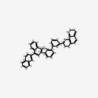 C1=c2ccc3c(c2=NCC1)N=C(c1cccc(-c2cccc4c2oc2c5ccccc5c(-c5ccc6ccccc6c5)cc42)c1)CC3